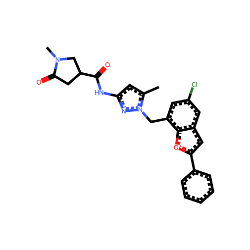 Cc1cc(NC(=O)C2CC(=O)N(C)C2)nn1Cc1cc(Cl)cc2cc(-c3ccccc3)oc12